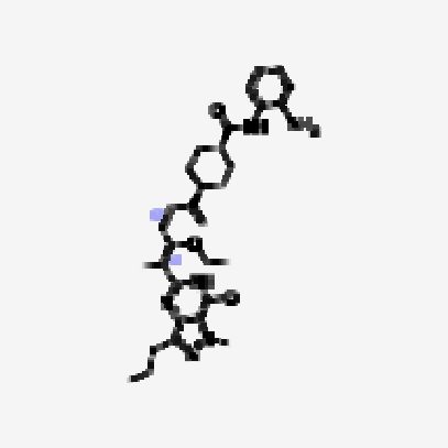 C=C(/C=C\C(OCC)=C(/C)c1nc2c(CCC)nn(C)c2c(=O)[nH]1)[C@H]1CC[C@@H](C(=O)Nc2ccccc2N)CC1